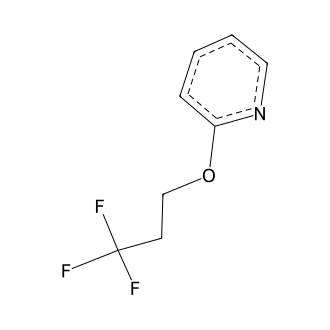 FC(F)(F)CCOc1ccccn1